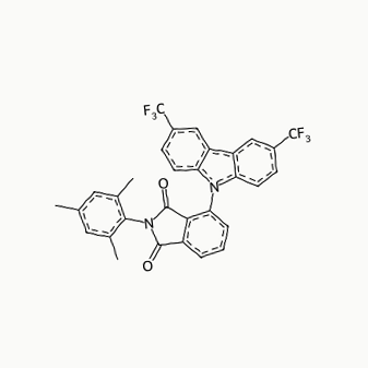 Cc1cc(C)c(N2C(=O)c3cccc(-n4c5ccc(C(F)(F)F)cc5c5cc(C(F)(F)F)ccc54)c3C2=O)c(C)c1